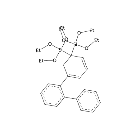 CCO[Si](OCC)(OCC)C1([Si](OCC)(OCC)OCC)C=CC=C(c2ccccc2-c2ccccc2)C1